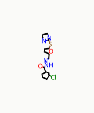 O=C(NN=Cc1ccc(Sc2ncccn2)o1)c1cccc(Cl)c1